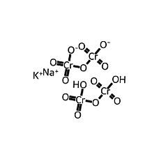 [K+].[Na+].[O]=[Cr](=[O])([O-])[O][Cr](=[O])(=[O])[O-].[O]=[Cr](=[O])([OH])[O][Cr](=[O])(=[O])[OH]